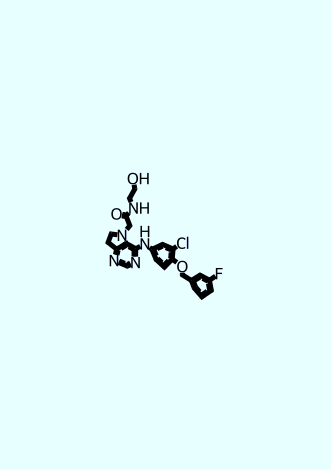 O=C(CN1CCc2ncnc(Nc3ccc(OCc4cccc(F)c4)c(Cl)c3)c21)NCCO